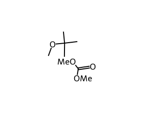 COC(=O)OC.COC(C)(C)C